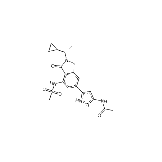 CC(=O)Nc1cc(-c2cc3c(c(NS(C)(=O)=O)c2)C(=O)N([C@@H](C)C2CC2)C3)[nH]n1